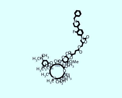 CC[C@H]1OC(=O)[C@H](C)[C@@H](O[C@H]2C[C@@](C)(OC)[C@@H](OC(=O)CCC(=O)OCC3CN(c4ccc(C5=CCN(Cc6ccccc6)CC5)c(F)c4)C(=O)O3)[C@H](C)O2)[C@H](C)[C@@H](O[C@H]2C[C@@H](N(C)C)C[C@@H](C)O2)[C@](C)(O)C[C@@H](C)CN(C)[C@H](C)[C@@H](O)[C@]1(C)O